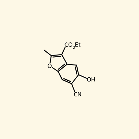 CCOC(=O)c1c(C)oc2cc(C#N)c(O)cc12